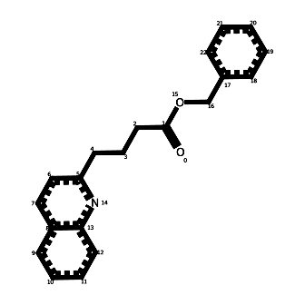 O=C(CCCc1ccc2ccccc2n1)OCc1ccccc1